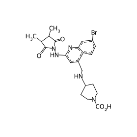 CC1C(=O)N(Nc2cc(CNC3CCN(C(=O)O)CC3)c3ccc(Br)cc3n2)C(=O)C1C